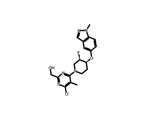 Cc1c(Cl)nc(CO)nc1N1CC[C@H](Oc2ccc3c(cnn3C)c2)[C@H](F)C1